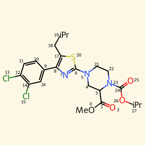 COC(=O)C1CN(c2nc(-c3ccc(Cl)c(Cl)c3)c(CC(C)C)s2)CCN1C(=O)OC(C)C